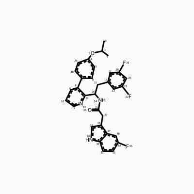 CC(C)Oc1ccc(-c2cccnc2C(Cc2cc(F)cc(F)c2)NC(=O)Cc2c[nH]c3ccc(F)cc23)cc1